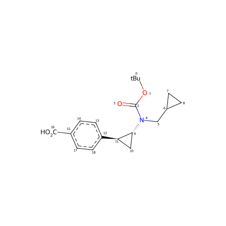 CC(C)(C)OC(=O)N(CC1CC1)[C@@H]1C[C@H]1c1ccc(C(=O)O)cc1